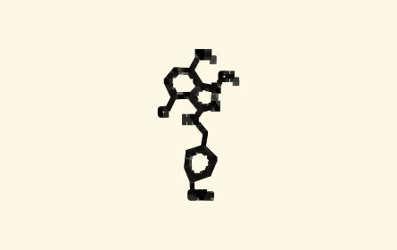 COc1ccc(CNc2nn(C)c3c(N)ccc(Cl)c23)cc1